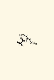 C=C(C)C(=O)OC(CO)COCCCC